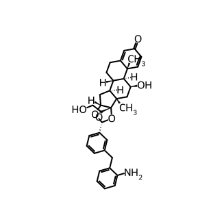 C[C@]12C=CC(=O)C=C1CC[C@@H]1[C@@H]2[C@@H](O)C[C@@]2(C)[C@H]1C[C@H]1O[C@@H](c3cccc(Cc4ccccc4N)c3)O[C@]12C(=O)CO